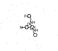 N#Cc1ccc(-c2nc(NCC3CCCCC3)ncc2C(=O)NCCc2cccc(F)c2)cc1